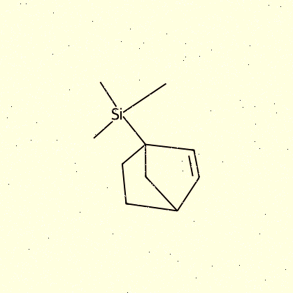 C[Si](C)(C)C12C=CC(CC1)C2